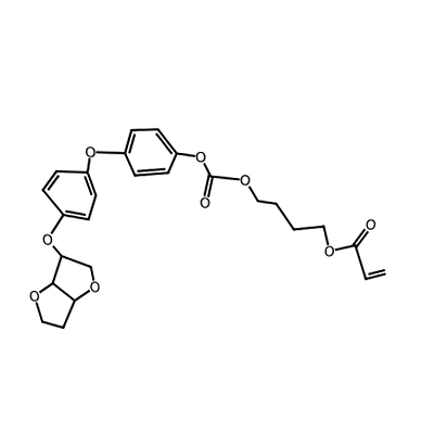 C=CC(=O)OCCCCOC(=O)Oc1ccc(Oc2ccc(OC3COC4CCOC43)cc2)cc1